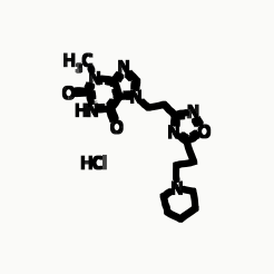 Cl.Cn1c(=O)[nH]c(=O)c2c1ncn2CCc1noc(CCN2CCCCC2)n1